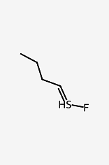 CCCC=[SH]F